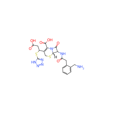 NCc1ccccc1CC(=O)NC1C(=O)N2C(C(=O)O)=C(C(CC(=O)O)Sc3nnn[nH]3)CS[C@@H]12